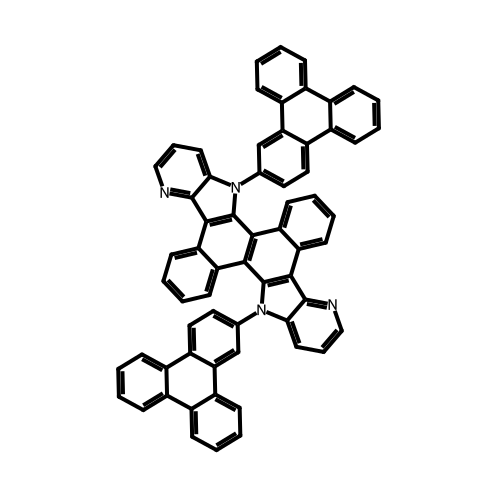 c1ccc2c(c1)c1ccccc1c1cc(-n3c4cccnc4c4c5ccccc5c5c(c6ccccc6c6c7ncccc7n(-c7ccc8c9ccccc9c9ccccc9c8c7)c65)c43)ccc21